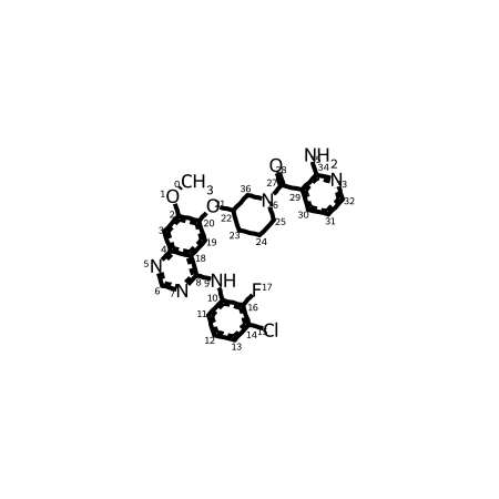 COc1cc2ncnc(Nc3cccc(Cl)c3F)c2cc1OC1CCCN(C(=O)c2cccnc2N)C1